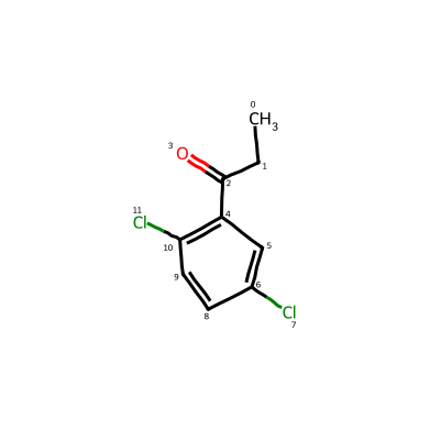 CCC(=O)c1cc(Cl)ccc1Cl